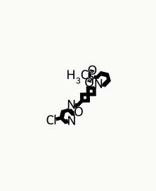 CS(=O)(=O)C1C=CC=CN1C1CC2(CC(c3nc4cc(Cl)cnc4o3)C2)C1